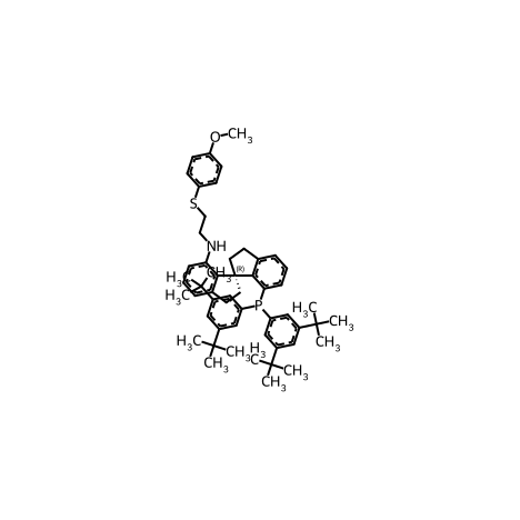 COc1ccc(SCCNc2cccc3c2[C@@]2(CC3)CCc3cccc(P(c4cc(C(C)(C)C)cc(C(C)(C)C)c4)c4cc(C(C)(C)C)cc(C(C)(C)C)c4)c32)cc1